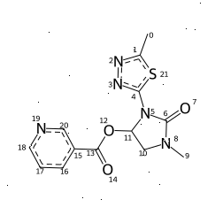 Cc1nnc(N2C(=O)N(C)CC2OC(=O)c2cccnc2)s1